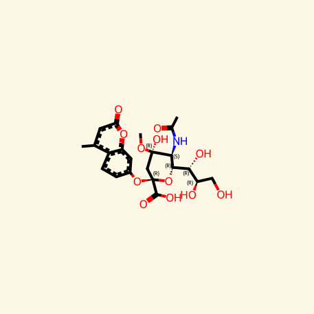 CO[C@]1(O)C[C@@](Oc2ccc3c(C)cc(=O)oc3c2)(C(=O)O)O[C@@H]([C@H](O)[C@H](O)CO)[C@@H]1NC(C)=O